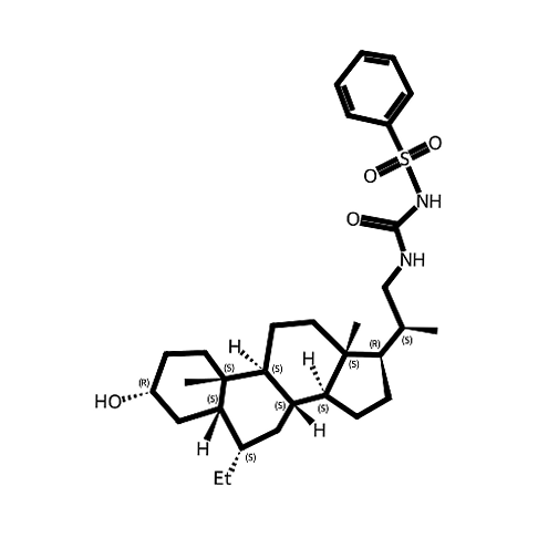 CC[C@H]1C[C@@H]2[C@H](CC[C@]3(C)[C@@H]([C@H](C)CNC(=O)NS(=O)(=O)c4ccccc4)CC[C@@H]23)[C@@]2(C)CC[C@@H](O)C[C@@H]12